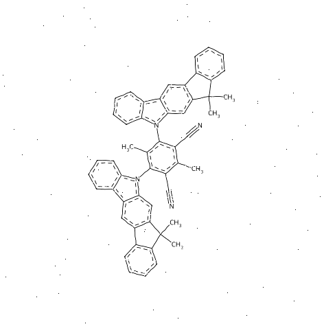 Cc1c(C#N)c(-n2c3ccccc3c3cc4c(cc32)C(C)(C)c2ccccc2-4)c(C)c(-n2c3ccccc3c3cc4c(cc32)C(C)(C)c2ccccc2-4)c1C#N